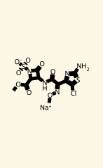 CON=C(C(=O)NC1C(=O)N(S(=O)(=O)[O-])C1C(=O)OC)c1nc(N)sc1Cl.[Na+]